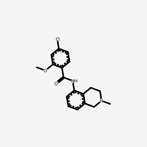 COc1cc(Cl)ccc1C(=O)Nc1cccc2c1CCN(C)C2